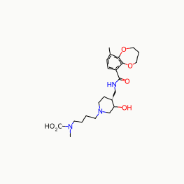 Cc1ccc(C(=O)NC[C@@H]2CCN(CCCCN(C)C(=O)O)CC2O)c2c1OCCCO2